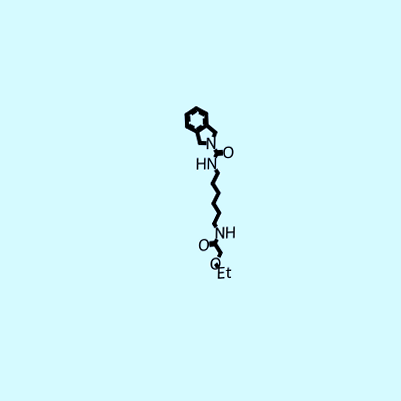 CCOCC(=O)NCCCCCCNC(=O)N1Cc2ccccc2C1